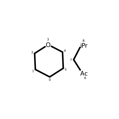 C1CCOCC1.CC(=O)CC(C)C